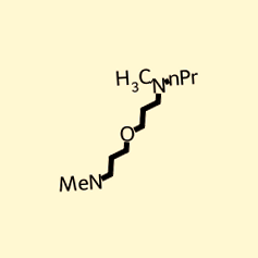 CCCN(C)CCCOCCCNC